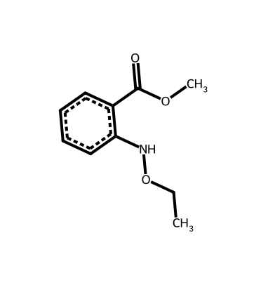 CCONc1ccccc1C(=O)OC